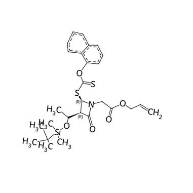 C=CCOC(=O)CN1C(=O)[C@@H](C(C)O[Si](C)(C)C(C)(C)C)[C@H]1SC(=S)Oc1cccc2ccccc12